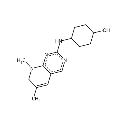 CC1=Cc2cnc(NC3CCC(O)CC3)nc2N(C)C1